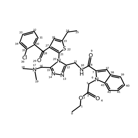 CCOC(=O)Cn1c(C(=O)NCc2nnc(CN(C)C)n2-c2sc(CC)cc2C(=O)c2ccccc2Cl)cc2ccccc21